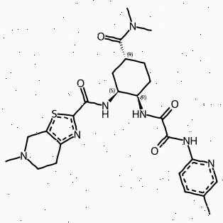 Cc1ccc(NC(=O)C(=O)N[C@@H]2CC[C@@H](C(=O)N(C)C)C[C@@H]2NC(=O)c2nc3c(s2)CN(C)CC3)nc1